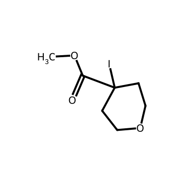 COC(=O)C1(I)CCOCC1